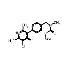 Cc1[nH]c(C)c(-c2ccc(CN(C)C(=O)OC(C)(C)C)cc2)c(=O)c1Cl